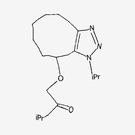 CC(C)C(=O)COC1CCCCCc2nnn(C(C)C)c21